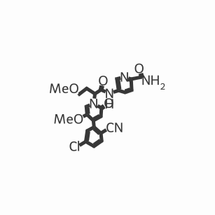 COCCC(C(=O)Nc1ccc(C(N)=O)nc1)n1cc(OC)c(-c2cc(Cl)ccc2C#N)cc1=O